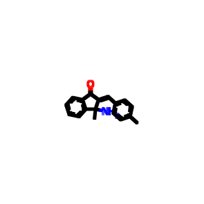 Cc1ccc(C=C2C(=O)c3ccccc3C2(C)N)cc1